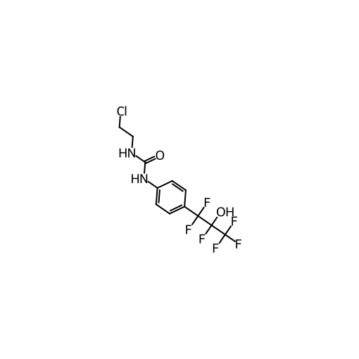 O=C(NCCCl)Nc1ccc(C(F)(F)C(O)(F)C(F)(F)F)cc1